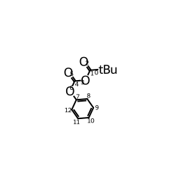 CC(C)(C)C(=O)OC(=O)Oc1ccccc1